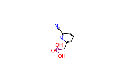 N#Cc1cccc(CP(=O)(O)O)n1